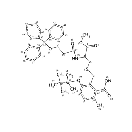 COC(=O)C(CSCc1c(O[Si](C)(C)C(C)(C)C)ccc(C)c1C(=O)O)NC(=O)CCOC(c1ccccc1)(c1ccccc1)c1ccccc1